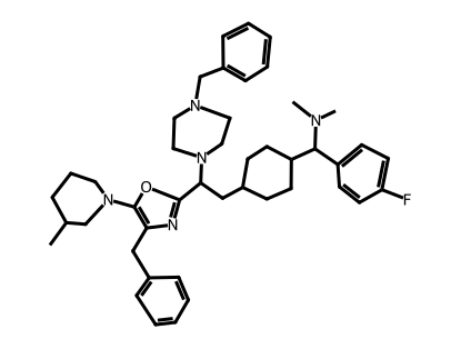 CC1CCCN(c2oc(C(CC3CCC(C(c4ccc(F)cc4)N(C)C)CC3)N3CCN(Cc4ccccc4)CC3)nc2Cc2ccccc2)C1